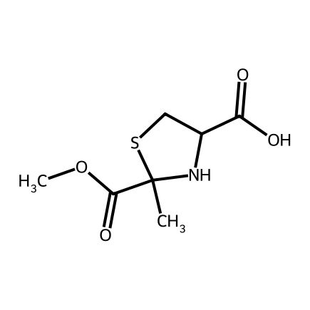 COC(=O)C1(C)NC(C(=O)O)CS1